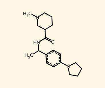 CC(NC(=O)C1CCCN(C)C1)c1ccc(N2CCCC2)cc1